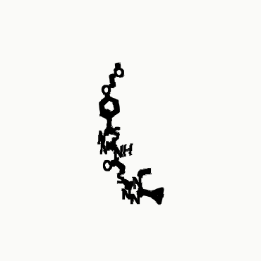 CCn1c(SCC(=O)Nc2nnc(-c3ccc(OCCOC)cc3)s2)nnc1C1CC1